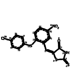 O=C1NC(=S)SC1=Cc1cc([N+](=O)[O-])ccc1Sc1ccc(Cl)cc1